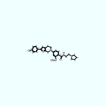 COc1cc(N2CCc3cc(-c4ccc(Cl)cc4)sc3C2)ccc1C(=O)NCCN1CCCC1